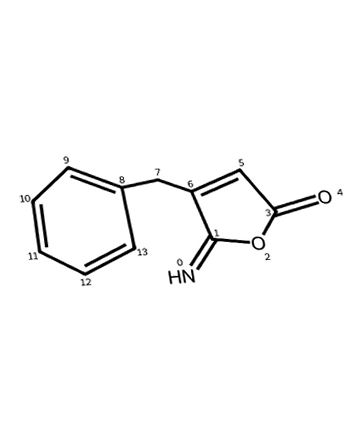 N=C1OC(=O)C=C1Cc1ccccc1